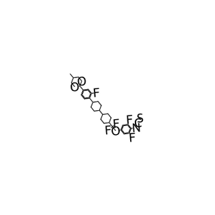 CC1COC(c2ccc(C3CCC(C4CCC(C(F)(F)Oc5cc(F)c(N=C=S)c(F)c5)CC4)CC3)c(F)c2)OC1